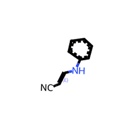 N#C/C=C/Nc1ccccc1